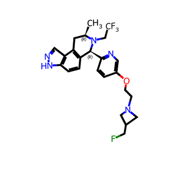 C[C@@H]1Cc2c(ccc3[nH]ncc23)[C@H](c2ccc(OCCN3CC(CF)C3)cn2)N1CC(F)(F)F